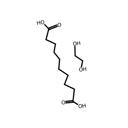 O=C(O)CCCCCCCCC(=O)O.OCCO